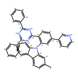 Cc1ccc2c3ccccc3n(-c3cc(-c4cccnc4)ccc3-c3nc(-c4ccccc4)nc(-c4ccccc4)n3)c2c1